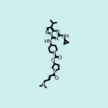 CC(C)c1cnn2c(NC3CCN(C(=O)OC4CCN(C(=O)/C=C/CN(C)C)C4)CC3)nc(NC3CC3)nc12